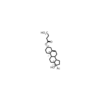 CC(=O)[C@@]1(O)CCC2C3CC=C4C[C@@H](OC(=O)CCC(=O)O)CC[C@]4(C)C3CC[C@@]21C